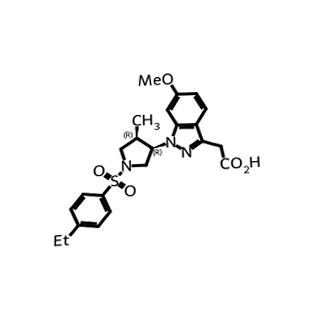 CCc1ccc(S(=O)(=O)N2C[C@@H](C)[C@@H](n3nc(CC(=O)O)c4ccc(OC)cc43)C2)cc1